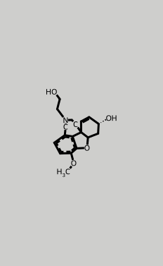 COc1ccc2c3c1OC1C[C@@H](O)C=CC31CCN(CCO)C2